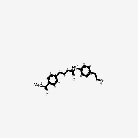 COC(=O)c1ccc(CCCC(=O)Nc2ccc(CCBr)cc2)cc1